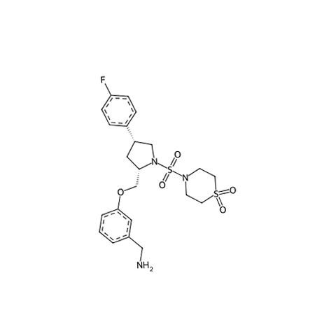 NCc1cccc(OC[C@@H]2C[C@H](c3ccc(F)cc3)CN2S(=O)(=O)N2CCS(=O)(=O)CC2)c1